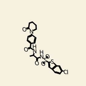 CC(NC(=O)c1ccc(N2CCCCC2=O)cc1)C(=O)NS(=O)(=O)c1cc2ccc(Cl)cc2s1